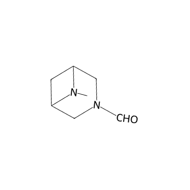 CN1C2CC1CN(C=O)C2